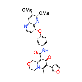 COc1cc2nccc(Oc3ccc(NC(=O)c4c5n(c(C)c(-c6ccoc6)c4=O)CCOC5)cc3)c2nc1OC